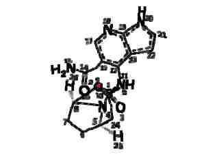 CS(=O)(=O)N1[C@@H]2CC[C@H]1C[C@@H](Nc1c(C(N)=O)cnc3[nH]ccc13)C2